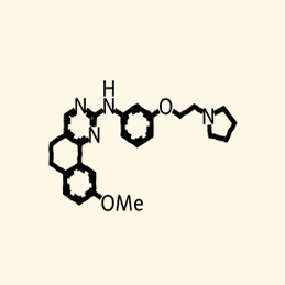 COc1ccc2c(c1)-c1nc(Nc3cccc(OCCN4CCCC4)c3)ncc1CC2